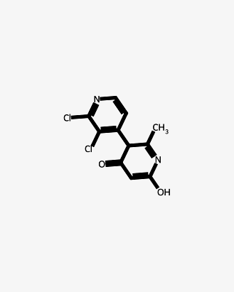 CC1=NC(O)=CC(=O)C1c1ccnc(Cl)c1Cl